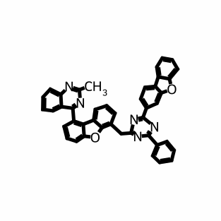 Cc1nc(-c2cccc3oc4c(Cc5nc(-c6ccccc6)nc(-c6ccc7c(c6)oc6ccccc67)n5)cccc4c23)c2ccccc2n1